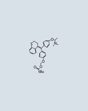 CC(Oc1ccc(C(=C2CCSc3ccccc32)c2ccc(OCOC(=O)C(C)(C)C)cc2)cc1)N(C)C